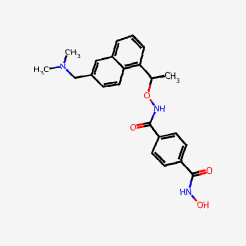 CC(ONC(=O)c1ccc(C(=O)NO)cc1)c1cccc2cc(CN(C)C)ccc12